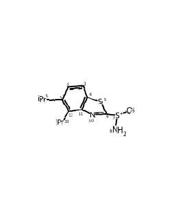 CC(C)c1ccc2sc([S+](N)[O-])nc2c1C(C)C